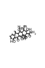 C=C1c2cccc(O)c2C(=O)C2=C(O)C3(O)C(=O)C(C(N)=O)C(O)C(NCC)C3C(O)C12